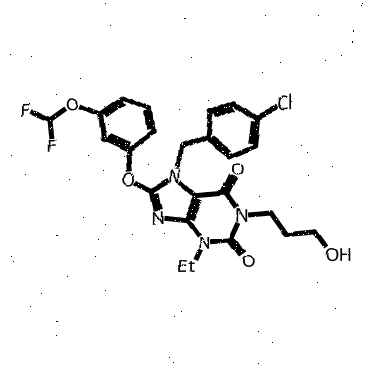 CCn1c(=O)n(CCCO)c(=O)c2c1nc(Oc1cccc(OC(F)F)c1)n2Cc1ccc(Cl)cc1